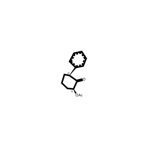 CC(=O)O[C@H]1CCC[C@@H](c2ccccc2)C1=O